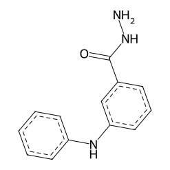 NNC(=O)c1cccc(Nc2ccccc2)c1